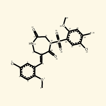 COc1ccc(Cl)cc1/C=C1\CNC(=O)CN(S(=O)(=O)c2cc(Cl)c(F)cc2OC)C1=O